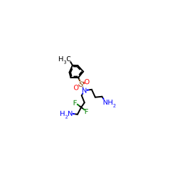 Cc1ccc(S(=O)(=O)N(CCCN)CCC(F)(F)CN)cc1